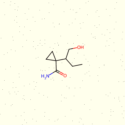 CCC(CO)C1(C(N)=O)CC1